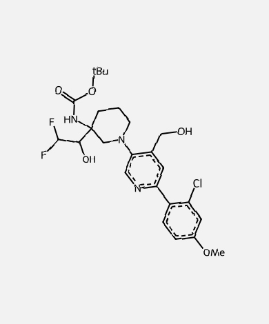 COc1ccc(-c2cc(CO)c(N3CCCC(NC(=O)OC(C)(C)C)(C(O)C(F)F)C3)cn2)c(Cl)c1